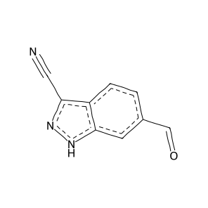 N#Cc1n[nH]c2cc(C=O)ccc12